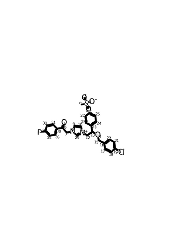 CS(=O)(=O)[O-].O=C(Cn1cc[n+](CC(OCc2ccc(Cl)cc2)c2ccccc2)c1)c1ccc(F)cc1